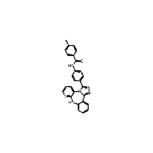 Cc1ccc(C(=O)Nc2ccc(-c3nnc4n3-c3cccnc3Nc3ccccc3-4)cc2)cc1